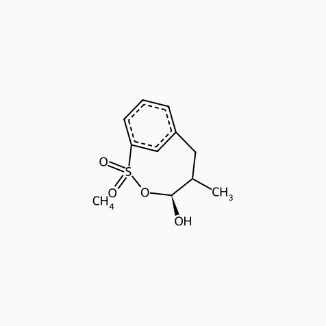 C.CC1Cc2cccc(c2)S(=O)(=O)O[C@@H]1O